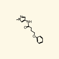 Cn1cc(NC(=O)CCCOc2ccccc2)cn1